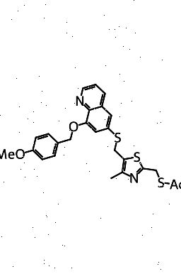 COc1ccc(COc2cc(SCc3sc(CSC(C)=O)nc3C)cc3cccnc23)cc1